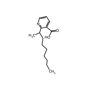 CCCCCCCC(C)c1ncccc1C(=O)O